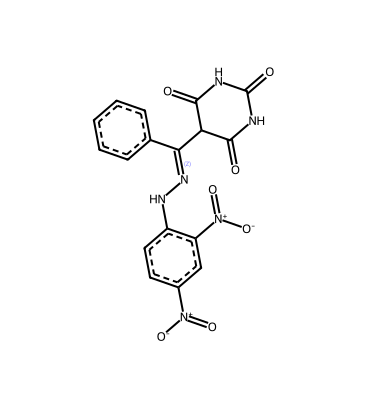 O=C1NC(=O)C(/C(=N/Nc2ccc([N+](=O)[O-])cc2[N+](=O)[O-])c2ccccc2)C(=O)N1